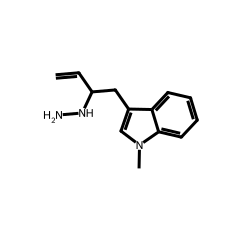 C=CC(Cc1cn(C)c2ccccc12)NN